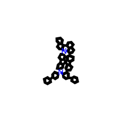 c1ccc(-c2ccc(N(c3ccc(-c4ccccc4)cc3)c3ccc4c(c3)C3(c5ccccc5-c5ccccc53)c3cc(N5c6ccc7ccccc7c6-c6cccc7cccc5c67)ccc3-4)cc2)cc1